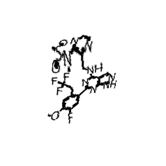 COc1cc(CC(F)(F)F)c(-c2nc(NCc3nccnc3N(C)S(C)(=O)=O)c3cn[nH]c3n2)cc1F